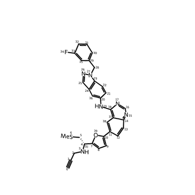 C#CCN[C@H](CSC)c1ccc(-c2ccc3ncnc(Nc4ccc5c(cnn5Cc5cccc(F)c5)c4)c3c2)o1